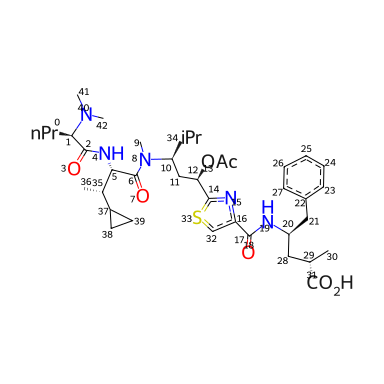 CCC[C@H](C(=O)N[C@H](C(=O)N(C)[C@H](C[C@@H](OC(C)=O)c1nc(C(=O)N[C@@H](Cc2ccccc2)C[C@H](C)C(=O)O)cs1)C(C)C)[C@@H](C)C1CC1)N(C)C